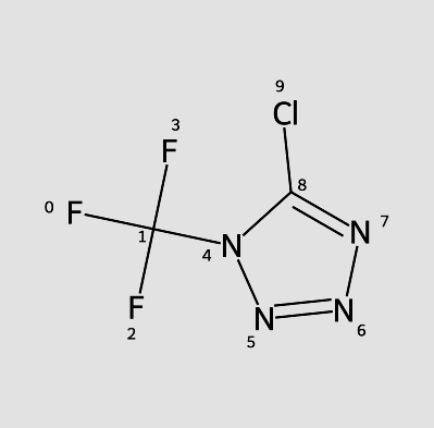 FC(F)(F)n1nnnc1Cl